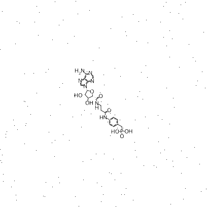 Nc1ncnc2c1ncn2[C@@H]1O[C@H](C(=O)NCCC(=O)Nc2ccc(CP(=O)(O)O)cc2)[C@@H](O)[C@@H]1O